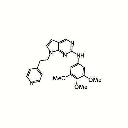 COc1cc(Nc2ncc3ccn(CCc4ccncc4)c3n2)cc(OC)c1OC